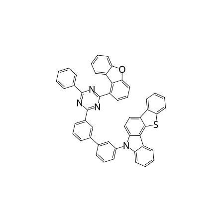 c1ccc(-c2nc(-c3cccc(-c4cccc(-n5c6ccccc6c6c7sc8ccccc8c7ccc65)c4)c3)nc(-c3cccc4oc5ccccc5c34)n2)cc1